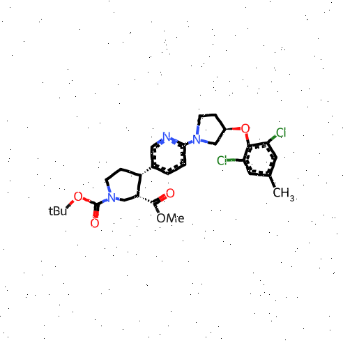 COC(=O)[C@@H]1CN(C(=O)OC(C)(C)C)CC[C@@H]1c1ccc(N2CC[C@@H](Oc3c(Cl)cc(C)cc3Cl)C2)nc1